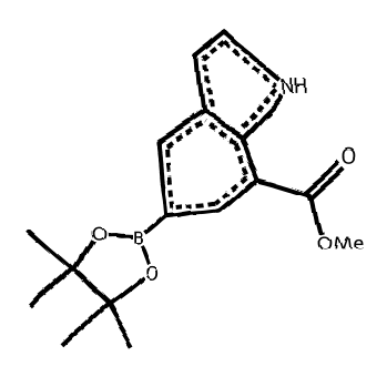 COC(=O)c1cc(B2OC(C)(C)C(C)(C)O2)cc2cc[nH]c12